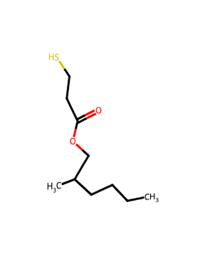 CCCCC(C)COC(=O)CCS